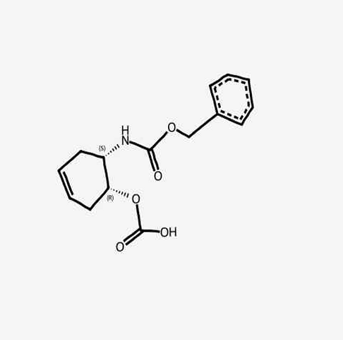 O=C(O)O[C@@H]1CC=CC[C@@H]1NC(=O)OCc1ccccc1